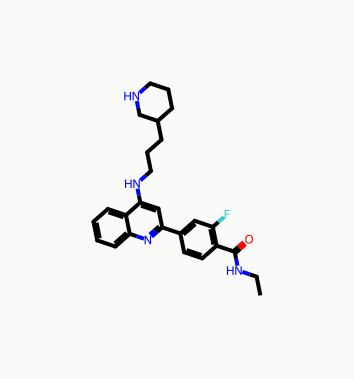 CCNC(=O)c1ccc(-c2cc(NCCCC3CCCNC3)c3ccccc3n2)cc1F